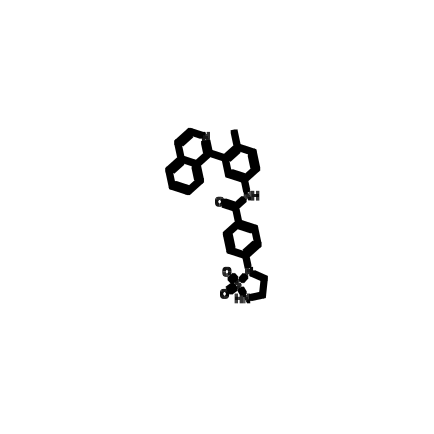 Cc1ccc(NC(=O)c2ccc(N3CCNS3(=O)=O)cc2)cc1-c1nccc2ccccc12